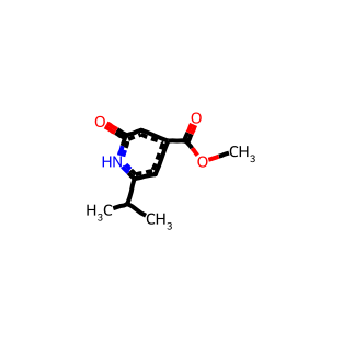 COC(=O)c1cc(C(C)C)[nH]c(=O)c1